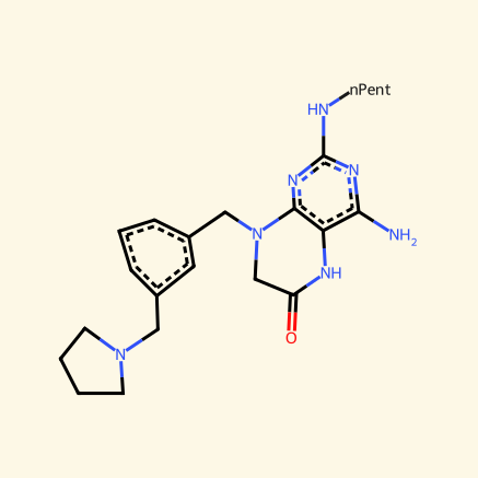 CCCCCNc1nc(N)c2c(n1)N(Cc1cccc(CN3CCCC3)c1)CC(=O)N2